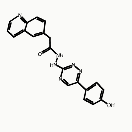 O=C(Cc1ccc2ncccc2c1)NNc1ncc(-c2ccc(O)cc2)nn1